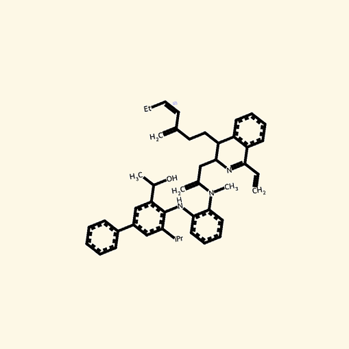 C=CC1=NC(CC(=C)N(C)c2ccccc2Nc2c(C(C)C)cc(-c3ccccc3)cc2C(C)O)C(CCC(=C)/C=C\CC)c2ccccc21